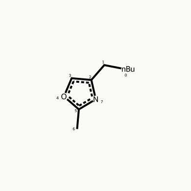 CCCCCc1coc(C)n1